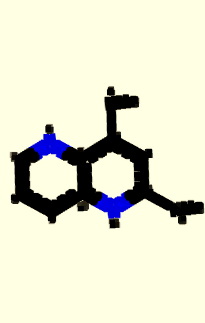 CNc1cc(NC)c2ncccc2n1